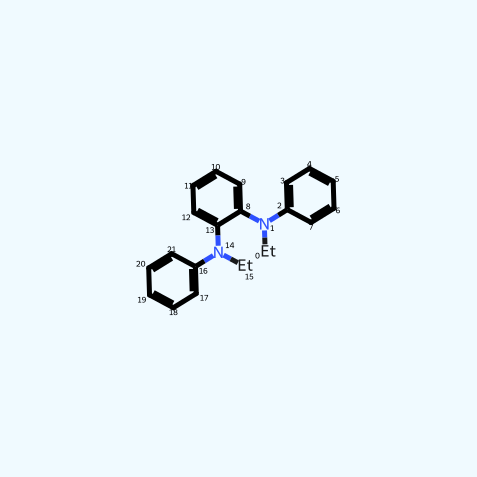 CCN(c1ccccc1)c1ccccc1N(CC)c1ccccc1